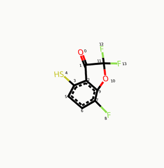 O=C1c2c(S)ccc(F)c2OC1(F)F